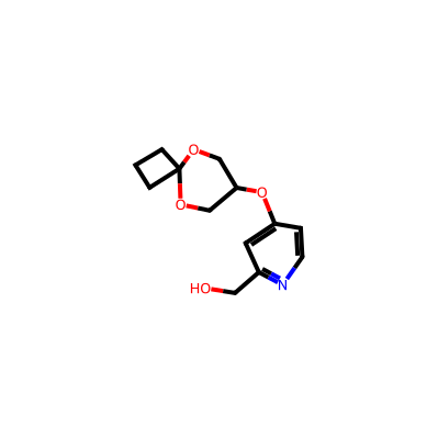 OCc1cc(OC2COC3(CCC3)OC2)ccn1